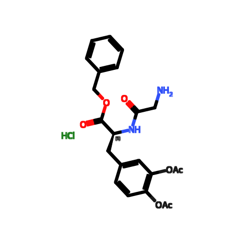 CC(=O)Oc1ccc(C[C@H](NC(=O)CN)C(=O)OCc2ccccc2)cc1OC(C)=O.Cl